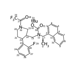 C[C@H](c1cccc2ccccc12)N(CC1CN(C(=O)C(F)(F)F)CCC1c1ccccc1F)C(=O)OC(C)(C)C